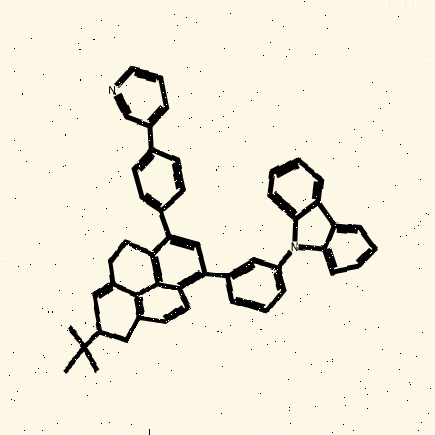 CC(C)(C)C1C=C2CCc3c(-c4ccc(-c5cccnc5)cc4)cc(-c4cccc(-n5c6ccccc6c6ccccc65)c4)c4ccc(c2c34)C1